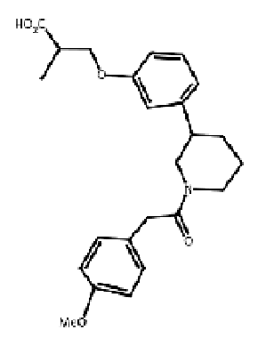 COc1ccc(CC(=O)N2CCCC(c3cccc(OCC(C)C(=O)O)c3)C2)cc1